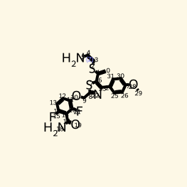 C=C(S/C=C\N)c1sc(COc2ccc(F)c(C(N)=O)c2F)nc1-c1ccc(OC)cc1